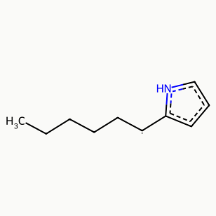 CCCCC[CH]c1ccc[nH]1